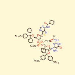 COc1ccc(C(OC[C@H]2O[C@@H](c3snc4c(NC(=O)c5ccccc5)ncnc34)C[C@@H]2OP(=O)(OCCC#N)OC[C@H]2O[C@@H](n3nnc4c(=O)[nH]c(NC(=O)C(C)C)nc43)[C@H](OC(c3ccccc3)(c3ccc(OC)cc3)c3ccc(OC)cc3)[C@@H]2C)(c2ccccc2)c2ccc(OC)cc2)cc1